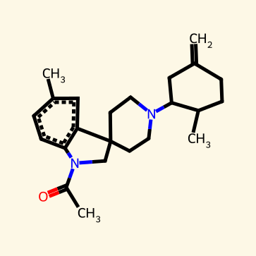 C=C1CCC(C)C(N2CCC3(CC2)CN(C(C)=O)c2ccc(C)cc23)C1